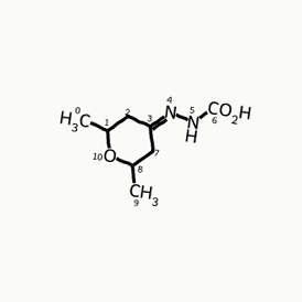 CC1CC(=NNC(=O)O)CC(C)O1